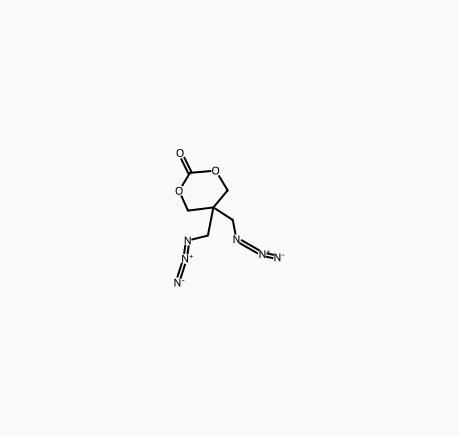 [N-]=[N+]=NCC1(CN=[N+]=[N-])COC(=O)OC1